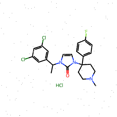 CC(c1cc(Cl)cc(Cl)c1)n1ccn(C2(c3ccc(F)cc3)CCN(C)CC2)c1=O.Cl